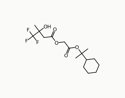 CC(C)(OC(=O)COC(=O)CC(C)(O)C(F)(F)F)C1CCCCC1